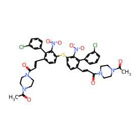 CC(=O)N1CCN(C(=O)/C=C/c2ccc(Sc3ccc(/C=C/C(=O)N4CCN(C(C)=O)CC4)c(-c4cccc(Cl)c4)c3[N+](=O)[O-])c([N+](=O)[O-])c2-c2cccc(Cl)c2)CC1